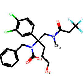 CN(C[C@](CCCO)(c1ccc(Cl)c(Cl)c1)N(Cc1ccccc1)C(=O)O)C(=O)CC(F)(F)F